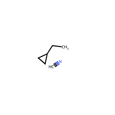 C#N.CCC1CC1